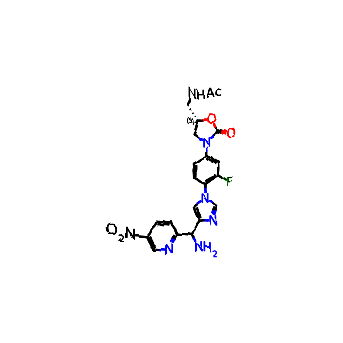 CC(=O)NC[C@H]1CN(c2ccc(-n3cnc(C(N)c4ccc([N+](=O)[O-])cn4)c3)c(F)c2)C(=O)O1